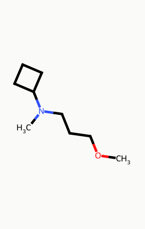 COCCCN(C)C1CCC1